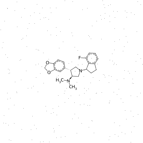 CN(C)[C@@H]1CN(C2CCc3cccc(F)c32)C[C@H]1c1ccc2c(c1)OCO2